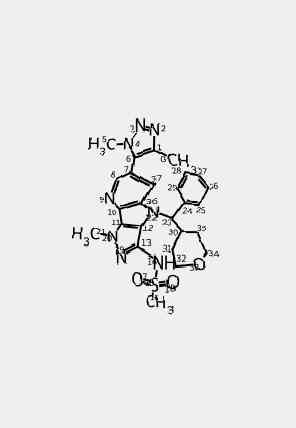 Cc1nnn(C)c1-c1cnc2c3c(c(NS(C)(=O)=O)nn3C)n(C(c3ccccc3)C3CCOCC3)c2c1